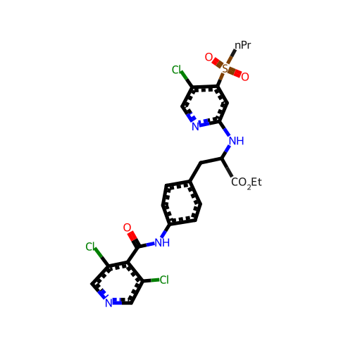 CCCS(=O)(=O)c1cc(NC(Cc2ccc(NC(=O)c3c(Cl)cncc3Cl)cc2)C(=O)OCC)ncc1Cl